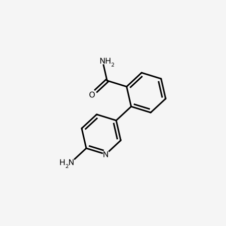 NC(=O)c1ccccc1-c1ccc(N)nc1